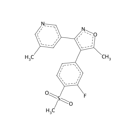 Cc1cncc(-c2noc(C)c2-c2ccc(S(C)(=O)=O)c(F)c2)c1